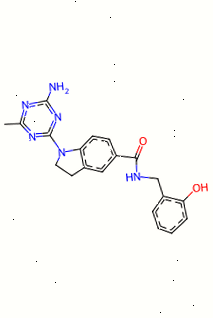 Cc1nc(N)nc(N2CCc3cc(C(=O)NCc4ccccc4O)ccc32)n1